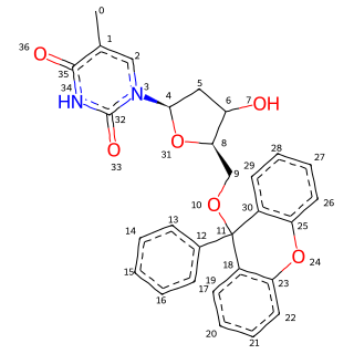 Cc1cn([C@H]2CC(O)[C@@H](COC3(c4ccccc4)c4ccccc4Oc4ccccc43)O2)c(=O)[nH]c1=O